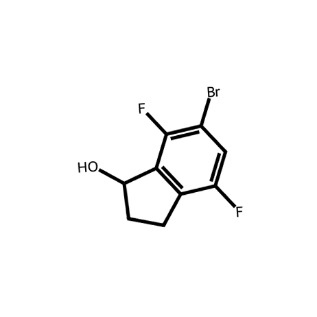 OC1CCc2c(F)cc(Br)c(F)c21